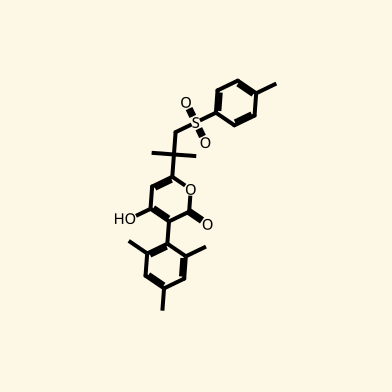 Cc1ccc(S(=O)(=O)CC(C)(C)c2cc(O)c(-c3c(C)cc(C)cc3C)c(=O)o2)cc1